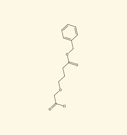 O=C(Cl)COCCCC(=O)OCc1ccccc1